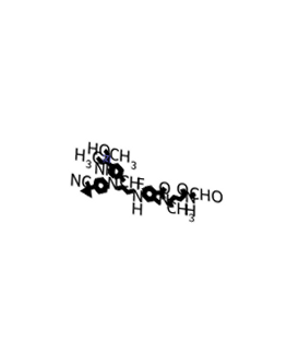 CC(=N)/C(=C(/C)O)c1ccc(C)c(N(CCCCNc2cc3c(cc2F)C(=O)N(C(C)CCC(=O)NC=O)C3)c2ccc(C3(C#N)CC3)cc2)c1